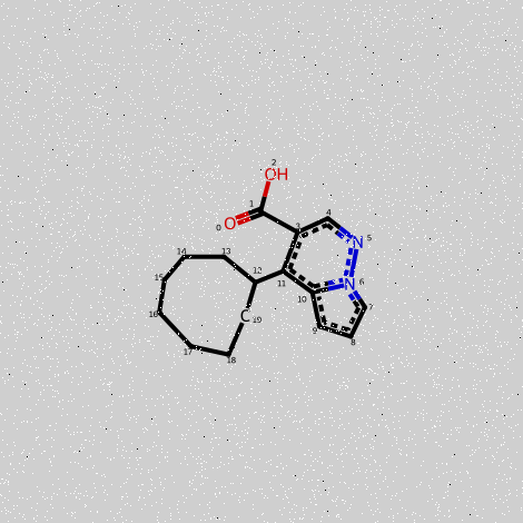 O=C(O)c1cnn2cccc2c1C1CCCCCCC1